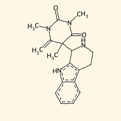 C=C1N(C)C(=O)N(C)C(=O)C1(C)C1NCCc2c1[nH]c1ccccc21